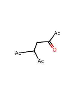 CC(=O)C(=O)CC(C(C)=O)C(C)=O